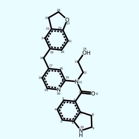 O=C(c1cccc2c1CCN2)N(CCO)c1cc(Cc2ccc3c(c2)CCO3)ccn1